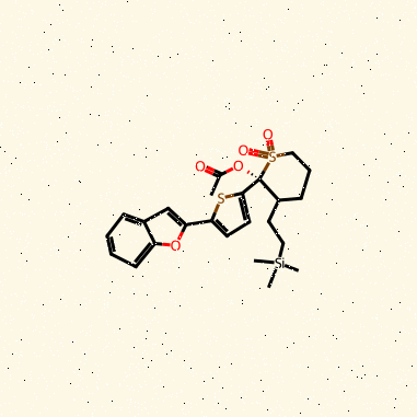 CC(=O)O[C@@]1(c2ccc(-c3cc4ccccc4o3)s2)C(CC[Si](C)(C)C)CCCS1(=O)=O